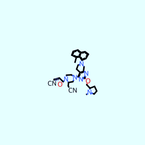 Cc1cccc2cccc(N3CCc4c(nc(OCC5CCCN5C)nc4N4CCN(C(=O)/C=C\C#N)C(CC#N)C4)C3)c12